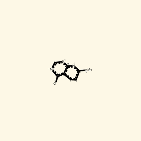 COc1ccc2c(Cl)ncnc2n1